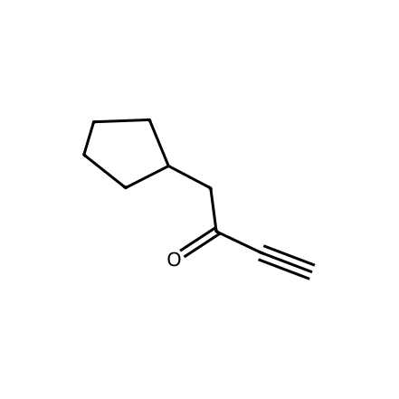 C#CC(=O)CC1CCCC1